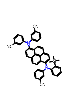 C[Si](C)(C)c1ccccc1N(c1cccc(C#N)c1)c1ccc2ccc3c(N(c4cccc(C#N)c4)c4cccc(C#N)c4)ccc4ccc1c2c43